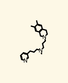 Cc1cc2c(cc1C)CN(CCCN(C)CCCc1cccnc1)CC2